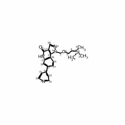 C[Si](C)(C)CCOCn1ncc2c(=O)[nH]c3cc(-c4ccncc4)ccc3c21